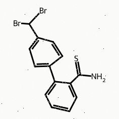 NC(=S)c1ccccc1-c1ccc(C(Br)Br)cc1